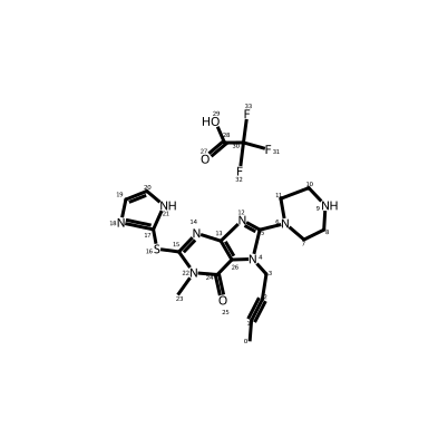 CC#CCn1c(N2CCNCC2)nc2nc(Sc3ncc[nH]3)n(C)c(=O)c21.O=C(O)C(F)(F)F